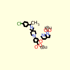 CC(c1ccc(Cl)cc1)N1CC2(CCN(c3ccc(C(=O)OC(C)(C)C)c(Oc4cnc5c(ccn5C(=O)OC(C)(C)C)c4)c3)CC2)C1